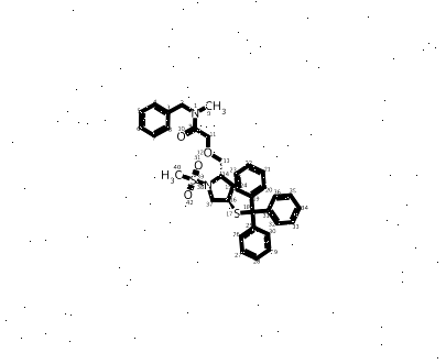 CN(Cc1ccccc1)C(=O)COC[C@@H]1C[C@@H](SC(c2ccccc2)(c2ccccc2)c2ccccc2)CN1S(C)(=O)=O